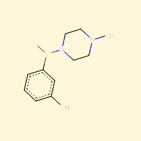 Cc1cccc([S+]([O-])N2CCN(C)CC2)c1